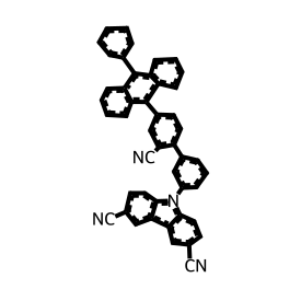 N#Cc1ccc2c(c1)c1cc(C#N)ccc1n2-c1cccc(-c2ccc(-c3c4ccccc4c(-c4ccccc4)c4ccccc34)cc2C#N)c1